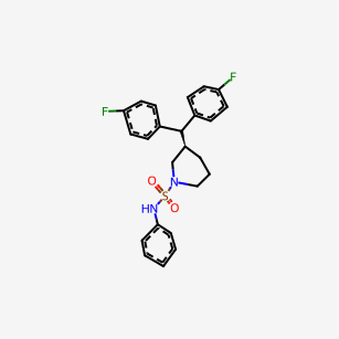 O=S(=O)(Nc1ccccc1)N1CCC[C@H](C(c2ccc(F)cc2)c2ccc(F)cc2)C1